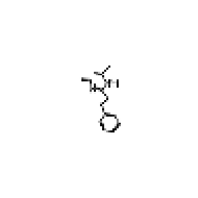 C=CN=C(CCc1ccccc1)NC(C)C